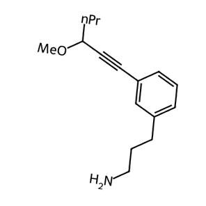 CCCC(C#Cc1cccc(CCCN)c1)OC